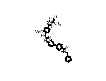 COc1cc(C(=O)NC(C)(C)CO)ccc1Nc1nc2ccc(-c3ccc(C(=O)NCc4ccc(F)cc4)c(F)c3)cn2n1